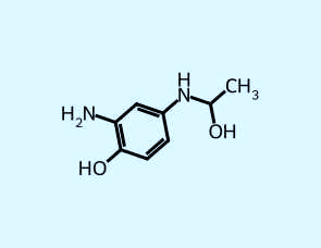 CC(O)Nc1ccc(O)c(N)c1